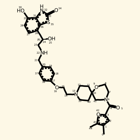 Cc1cc(C(=O)N2CCOC3(CCN(CCOc4ccc(CNC[C@H](O)c5ccc(O)c6[nH]c(=O)sc56)cc4)CC3)C2)oc1C